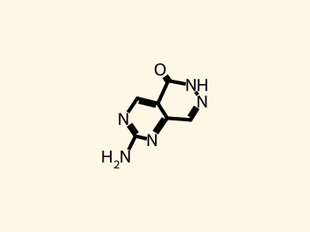 Nc1ncc2c(=O)[nH]ncc2n1